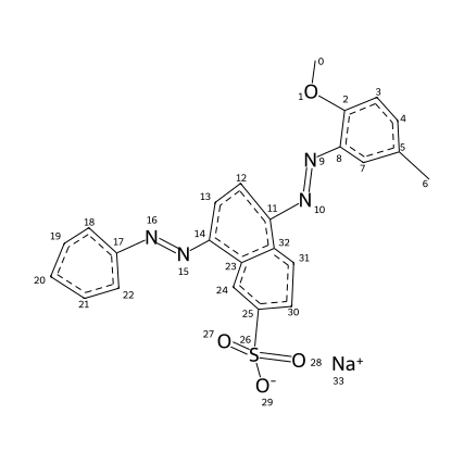 COc1ccc(C)cc1N=Nc1ccc(N=Nc2ccccc2)c2cc(S(=O)(=O)[O-])ccc12.[Na+]